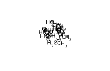 CC(C)CCC[C@@H](C)[C@H]1CC[C@H]2[C@@H]3CC=C4C[C@@H](O)CC[C@]4(C)[C@H]3CC[C@]12C.O=c1[nH]c(=O)c2[nH]c(=O)[nH]c2[nH]1